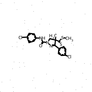 CSC(=S)C1(C)CN(C(=O)Nc2ccc(Cl)cc2)N=C1c1ccc(Cl)cc1